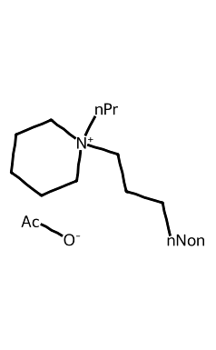 CC(=O)[O-].CCCCCCCCCCCC[N+]1(CCC)CCCCC1